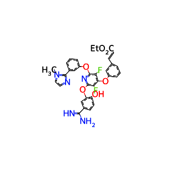 CCOC(=O)C=Cc1cccc(Oc2c(F)c(Oc3cccc(-c4nccn4C)c3)nc(Oc3cc(C(=N)N)ccc3O)c2F)c1